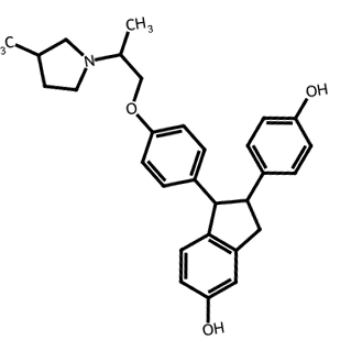 CC1CCN(C(C)COc2ccc(C3c4ccc(O)cc4CC3c3ccc(O)cc3)cc2)C1